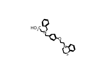 O=C(O)CN(Cc1ccccc1)Cc1ccc(OCCN2CCSc3ccccc32)cc1